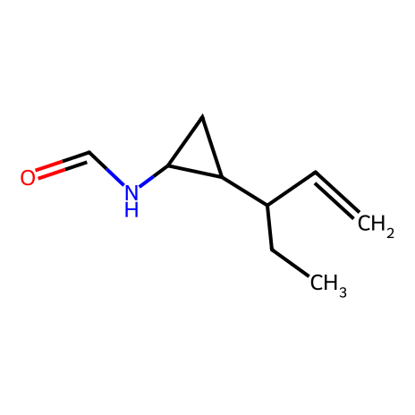 C=CC(CC)C1CC1NC=O